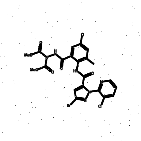 COC(=O)N(NC(=O)c1cc(Cl)cc(C)c1NC(=O)c1cc(Br)nn1-c1ncccc1Cl)C(=O)OC